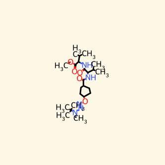 COC(=O)C(NC(=O)C(NC(=O)C1CCC(O/N=N/N(C)C(C)(C)C)CC1)C(C)C)C(C)C